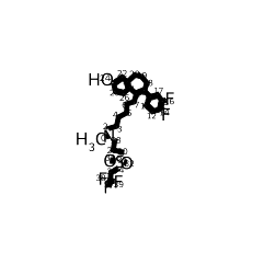 CN(CCCCCCC1=C(c2ccc(F)c(F)c2)CCCc2cc(O)ccc21)CCCS(=O)(=O)CCC(F)(F)F